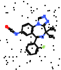 CC1(C)N=C(c2ccccc2F)c2cc(N=C=O)ccc2-n2cnnc21